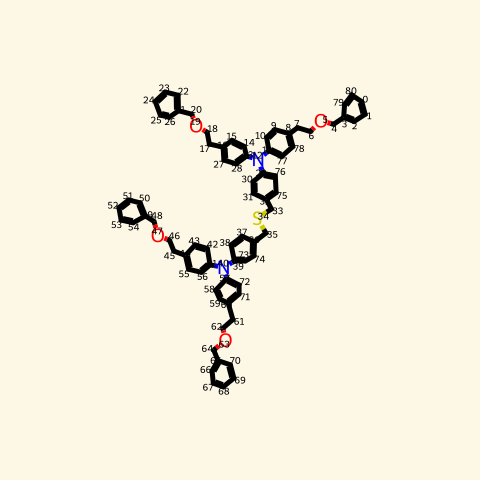 c1ccc(COCCc2ccc(N(c3ccc(CCOCc4ccccc4)cc3)c3ccc(CSCc4ccc(N(c5ccc(CCOCc6ccccc6)cc5)c5ccc(CCOCc6ccccc6)cc5)cc4)cc3)cc2)cc1